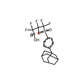 O=S(=O)(O)C(F)(F)C(F)(F)C(F)(F)S(=O)(=O)c1ccc(C23CC4CC(CC(C4)C2)C3)cc1